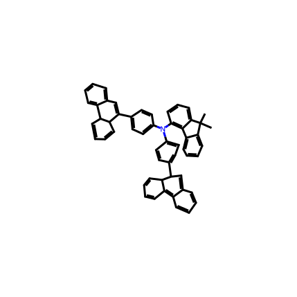 CC1(C)c2ccccc2-c2c(N(c3ccc(C4=Cc5ccccc5C5C=CC=CC45)cc3)c3ccc(C4C=c5ccccc5=C5C=CC=CC54)cc3)cccc21